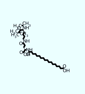 CC(C)N[C@@H](CCCCNC(=O)CC[C@H](NC(=O)CCCCCCCCCCCCCCCCC(=O)O)C(=O)O)C(=O)C(C)(C)C